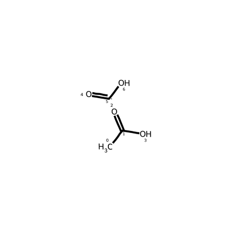 CC(=O)O.O=[C]O